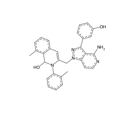 Cc1ccccc1N1C(Cn2nc(-c3cccc(O)c3)c3c(N)nccc32)=Cc2cccc(C)c2C1O